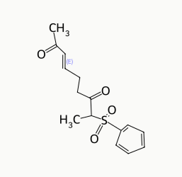 CC(=O)/C=C/CCC(=O)C(C)S(=O)(=O)c1ccccc1